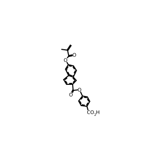 C=C(C)C(=O)Oc1ccc2cc(C(=O)Oc3ccc(C(=O)O)cc3)ccc2c1